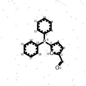 O=Cc1ccc(P(c2ccccc2)c2ccccc2)o1